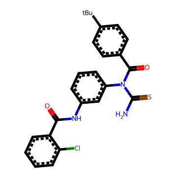 CC(C)(C)c1ccc(C(=O)N(C(N)=S)c2cccc(NC(=O)c3ccccc3Cl)c2)cc1